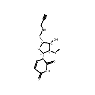 C#CCNC[C@H]1O[C@@H](n2ccc(=O)[nH]c2=O)[C@H](OC)[C@@H]1O